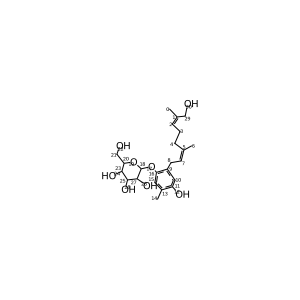 CC(=CCCC(C)=CCc1cc(O)c(C)cc1OC1OC(CO)C(O)C(O)C1O)CO